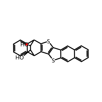 OC1C2c3ccccc3C(c3c2sc2c3sc3cc4ccccc4cc32)C1O